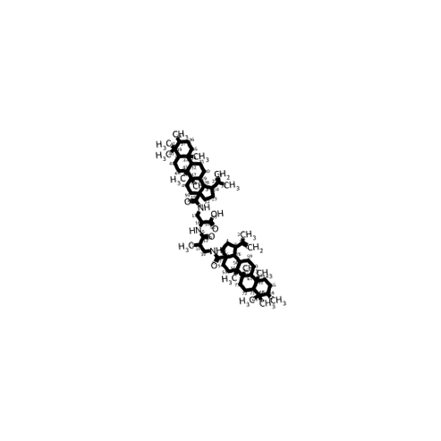 C=C(C)C1CCC2(C(=O)NCC(C)C(=O)NC(CNC(=O)C34CCC(C(=C)C)C3C3CCC5C6(C)CCC(C)C(C)(C)C6CCC5(C)C3(C)CC4)C(=O)O)CCC3(C)C(CCC4C5(C)CCC(C)C(C)(C)C5CCC43C)C12